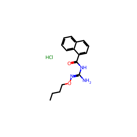 CCCCON=C(N)NC(=O)c1cccc2ccccc12.Cl